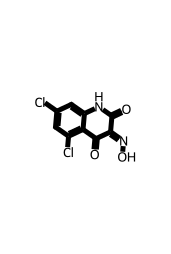 O=C1Nc2cc(Cl)cc(Cl)c2C(=O)/C1=N\O